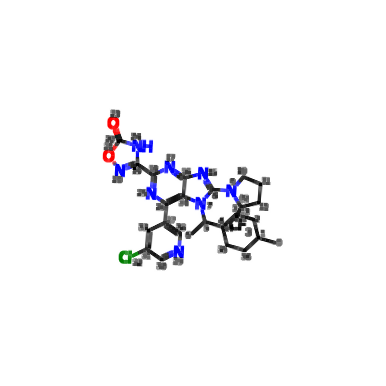 CC1CCC(C(C)n2c(N3CCC[C@H]3C(F)(F)F)nc3nc(-c4noc(=O)[nH]4)nc(-c4cncc(Cl)c4)c32)CC1